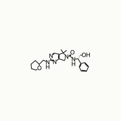 CC1(C)c2cnc(NCC3CCCCO3)nc2CN1C(=O)N[C@H](CO)c1ccccc1